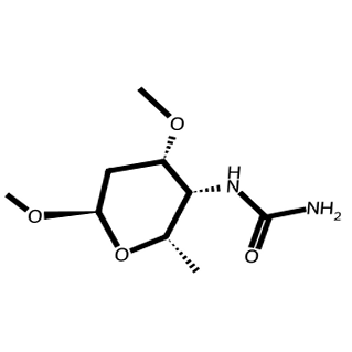 CO[C@H]1C[C@H](OC)[C@H](NC(N)=O)[C@H](C)O1